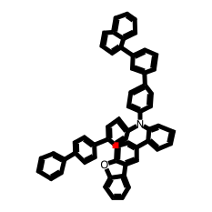 c1ccc(-c2ccc(-c3ccc(N(c4ccc(-c5cccc(-c6cccc7ccccc67)c5)cc4)c4ccccc4-c4ccc5oc6ccccc6c5c4)cc3)cc2)cc1